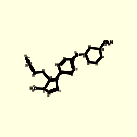 Cn1nnc(-c2cnc(O[C@H]3CCC[C@H](C(=O)O)C3)cn2)c1CN=[N+]=[N-]